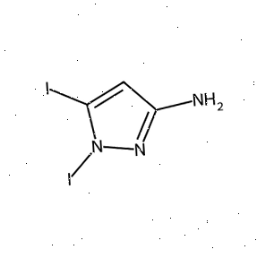 Nc1cc(I)n(I)n1